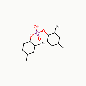 CC1CCC(OP(=O)(O)OC2CCC(C)CC2C(C)C)C(C(C)C)C1